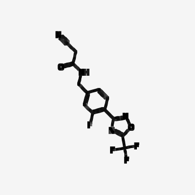 N#CCC(=O)NCc1ccc(-c2noc(C(F)(F)F)n2)c(F)c1